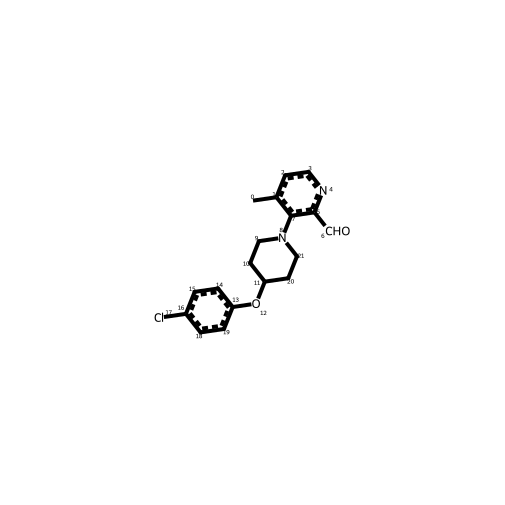 Cc1ccnc(C=O)c1N1CCC(Oc2ccc(Cl)cc2)CC1